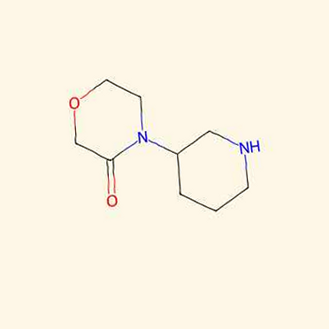 O=C1COCCN1C1CCCNC1